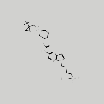 C[Si](C)(C)CCOCn1ccc2nc(NC(=O)N[C@H]3CCCN(S(=O)(=O)CC4(C(F)(F)F)CC4)C3)cnc21